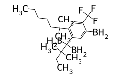 Bc1cc(C(B)(B)C(C)(C)CC)c(C(C)(C)CCCCC)cc1C(F)(F)F